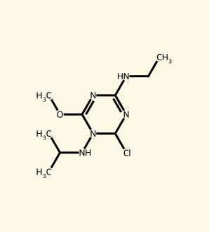 CCNC1=NC(Cl)N(NC(C)C)C(OC)=N1